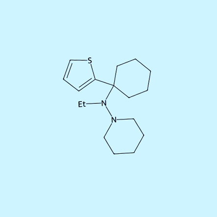 CCN(N1CCCCC1)C1(c2cccs2)CCCCC1